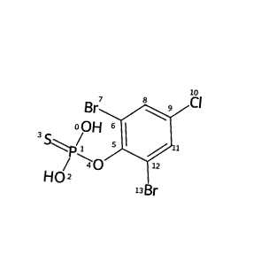 OP(O)(=S)Oc1c(Br)cc(Cl)cc1Br